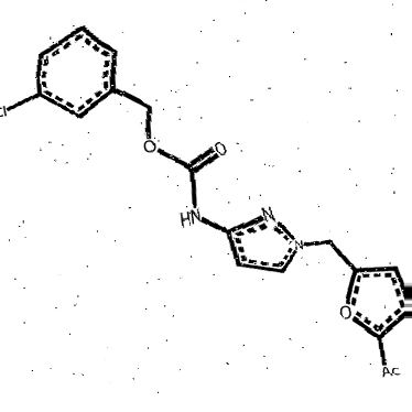 CC(=O)c1ccc(Cn2ccc(NC(=O)OCc3cccc(Cl)c3)n2)o1